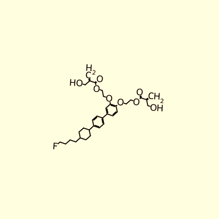 C=C(CO)C(=O)OCCOc1ccc(-c2ccc(C3CCC(CCCCF)CC3)cc2)cc1OCCOC(=O)C(=C)CO